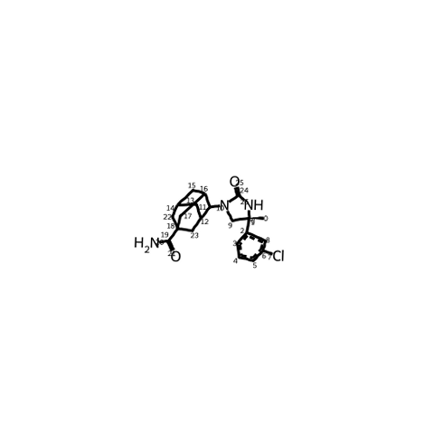 C[C@@]1(c2cccc(Cl)c2)CN(C2C3CC4CC2CC(C(N)=O)(C4)C3)C(=O)N1